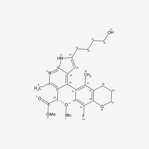 COC(=O)[C@@H](OC(C)(C)C)c1c(C)nc2[nH]c(CCCCO)cc2c1-c1cc(F)c2c(c1C)CCCO2